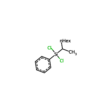 CCCCCCC(C)[Si](Cl)(Cl)c1ccccc1